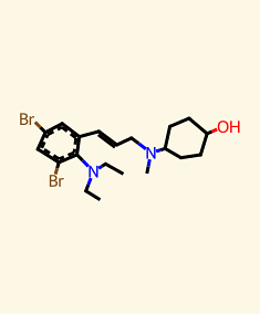 CCN(CC)c1c(Br)cc(Br)cc1C=CCN(C)C1CCC(O)CC1